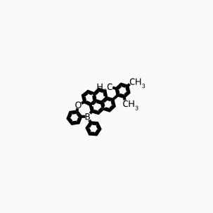 Cc1cc(C)c(-c2ccc3cc4c5c(ccc6ccc2c3c65)Oc2ccccc2B4c2ccccc2)c(C)c1